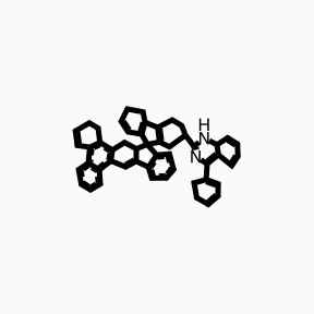 C1=CCCC(C2=C3C=CC=CC3NC(C3CCC4=C(C3)C3(C5=C4CCC=C5)c4ccccc4C4=Cc5c(c6c(c7ccccc57)C=CCC6)CC43)=N2)=C1